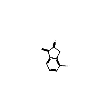 C=C1C(=N)Cc2c1cccc2C(C)C